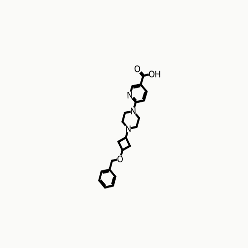 O=C(O)c1ccc(N2CCN(C3CC(OCc4ccccc4)C3)CC2)nc1